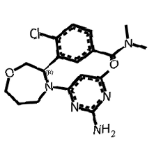 Cc1cc(N2CCCOC[C@H]2c2cc(C(=O)N(C)C)ccc2Cl)nc(N)n1